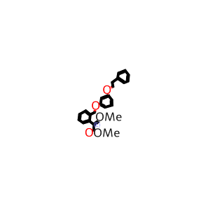 CO/C=C(/C(=O)OC)c1ccccc1COc1cccc(OCCc2ccccc2)c1